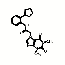 Cn1c(=O)c2c(ncn2CC(=O)Nc2ccccc2C2CCCC2)n(C)c1=O